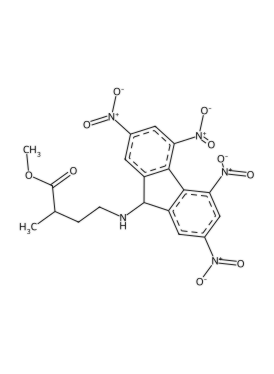 COC(=O)C(C)CCNC1c2cc([N+](=O)[O-])cc([N+](=O)[O-])c2-c2c1cc([N+](=O)[O-])cc2[N+](=O)[O-]